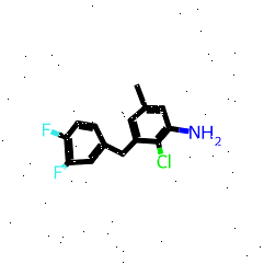 Cc1cc(N)c(Cl)c(Cc2ccc(F)c(F)c2)c1